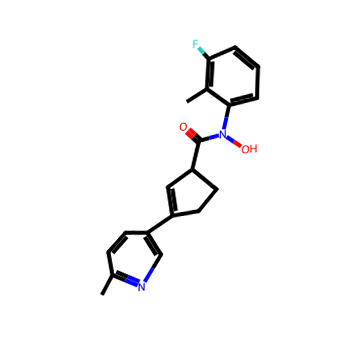 Cc1ccc(C2=CC(C(=O)N(O)c3cccc(F)c3C)CC2)cn1